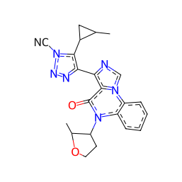 CC1CC1c1c(-c2ncn3c2c(=O)n(C2CCOC2C)c2ccccc23)nnn1C#N